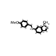 COc1ccc(CSc2ccc3cnn(C)c3c2)cc1